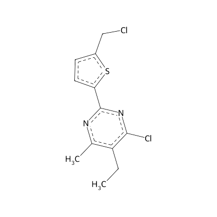 CCc1c(C)nc(-c2ccc(CCl)s2)nc1Cl